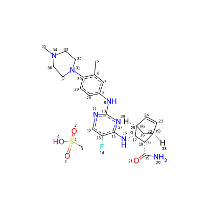 CS(=O)(=O)O.Cc1cc(Nc2ncc(F)c(N[C@H]3[C@@H](C(N)=O)[C@@H]4C=C[C@H]3C4)n2)ccc1N1CCN(C)CC1